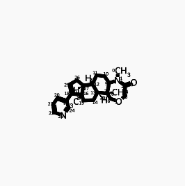 CN1C(=O)COC[C@@]2(C)C1CC[C@@H]1[C@@H]2CC[C@]2(C)C(c3cccnc3)=CC[C@@H]12